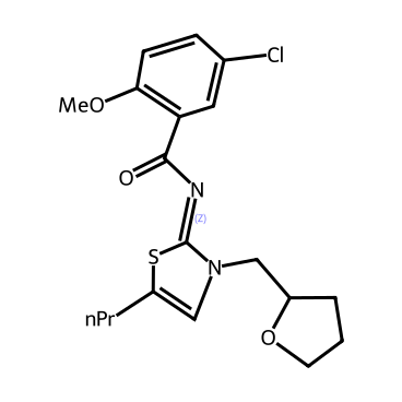 CCCc1cn(CC2CCCO2)/c(=N/C(=O)c2cc(Cl)ccc2OC)s1